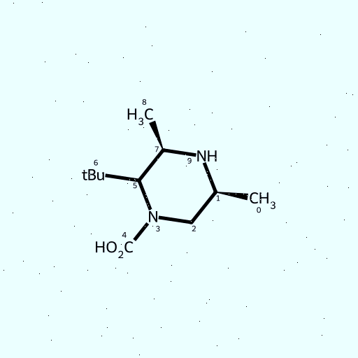 C[C@H]1CN(C(=O)O)C(C(C)(C)C)[C@@H](C)N1